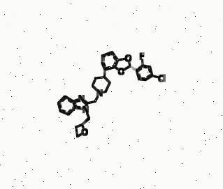 Fc1cc(Cl)ccc1[C@H]1Oc2cccc(C3CCN(Cc4nc5ccccc5n4C[C@@H]4CCO4)CC3)c2O1